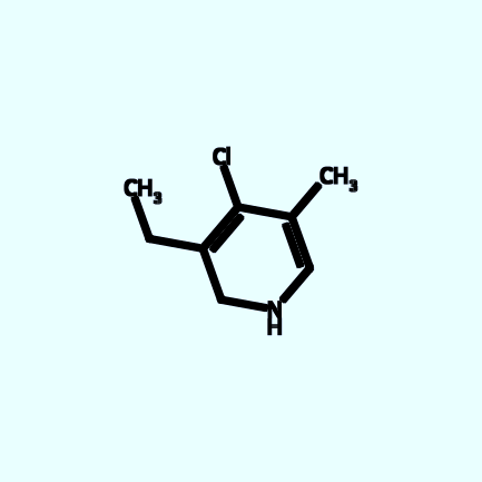 CCC1=C(Cl)C(C)=CNC1